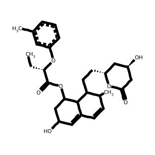 CC[C@H](Oc1cccc(C)c1)C(=O)OC1CC(O)C=C2C=CC(C)C(CC[C@@H]3C[C@@H](O)CC(=O)O3)C21